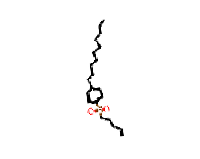 C=CCCCS(=O)(=O)c1ccc(CCCCCCCCCC)cc1